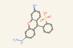 N=c1ccc2c(-c3ccccc3S(=O)(=O)O)c3ccc(NN)cc3oc-2c1